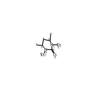 CCN1C(=O)N(CC)C(C)CC1C